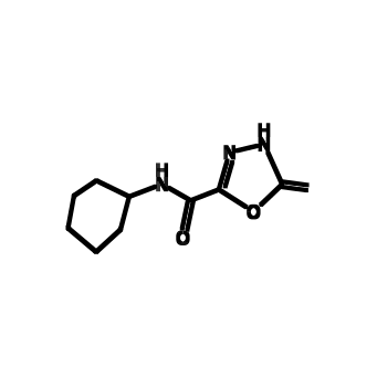 C=C1NN=C(C(=O)NC2CCCCC2)O1